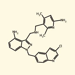 Cc1cc(N)nc(C)c1CNCc1nn(Cc2ccc3ncc(Cl)cc3c2)c2cccc(N)c12